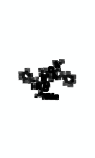 CN[C@@H](C)C(=O)N[C@@H](CCc1ccccc1)C(=O)N1CCC[C@H]1CN(CCc1ccccc1)C(=O)CN(C)C